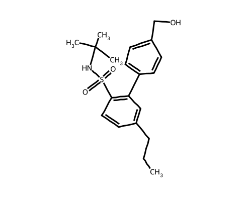 CCCc1ccc(S(=O)(=O)NC(C)(C)C)c(-c2ccc(CO)cc2)c1